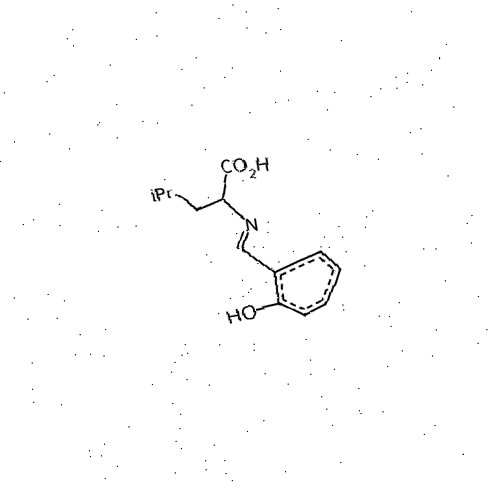 CC(C)CC(/N=C/c1ccccc1O)C(=O)O